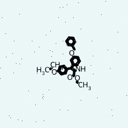 CCOC(=O)c1[nH]c2ccc(OCc3ccccc3)cc2c1-c1ccc(OC(C)C)cc1